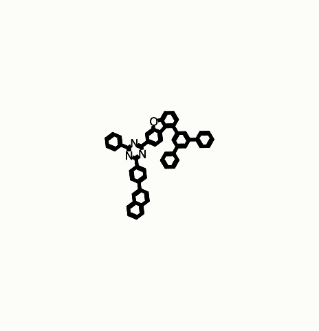 c1ccc(-c2cc(-c3ccccc3)cc(-c3cccc4oc5cc(-c6nc(-c7ccccc7)nc(-c7ccc(-c8ccc9ccccc9c8)cc7)n6)ccc5c34)c2)cc1